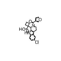 O=C(c1ccoc1)N1CCc2c([nH]c3ccc(Cl)cc23)C1C1(C(=O)O)CCC1